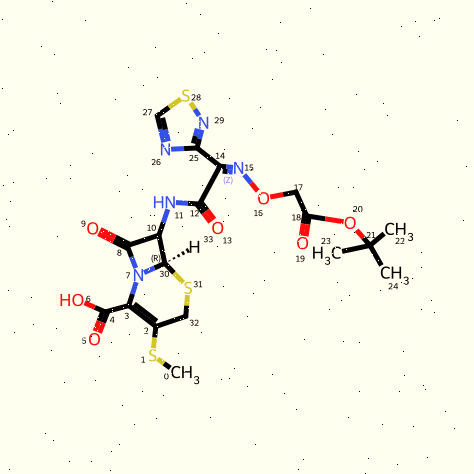 CSC1=C(C(=O)O)N2C(=O)C(NC(=O)/C(=N\OCC(=O)OC(C)(C)C)c3ncsn3)[C@H]2SC1